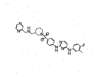 Cc1cc(Nc2ccnc(Nc3ccc(S(=O)(=O)N4CCCC(CNCc5cnccn5)C4)cc3)n2)ccc1F